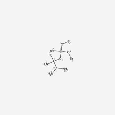 CCC[Si](OCC)(OCC)OC(N)(CC)C(N)N